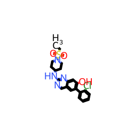 CCS(=O)(=O)N1CCC(Nc2ncc3cc(-c4ccccc4Cl)c(O)cc3n2)CC1